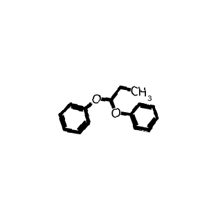 CC[C](Oc1ccccc1)Oc1ccccc1